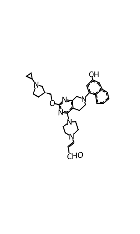 O=CC=CN1CCN(c2nc(OC[C@H]3CCN(C4CC4)C3)nc3c2CCN(c2cc(O)cc4ccccc24)C3)CC1